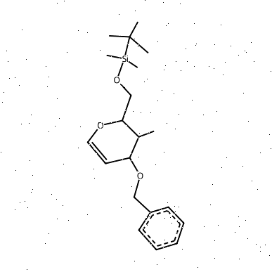 CC1C(OCc2ccccc2)C=COC1CO[Si](C)(C)C(C)(C)C